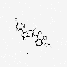 CC1Cn2c(nnc2-c2ncc(F)cn2)CN1C(=O)c1cccc(C(F)(F)F)c1Cl